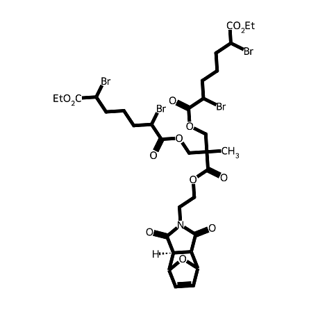 CCOC(=O)C(Br)CCCC(Br)C(=O)OCC(C)(COC(=O)C(Br)CCCC(Br)C(=O)OCC)C(=O)OCCN1C(=O)C2C3C=CC(O3)[C@H]2C1=O